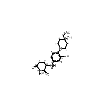 CC(=O)CC1(O)CCN(c2ccc(NC3CCC(=O)NC3=O)cc2F)CC1